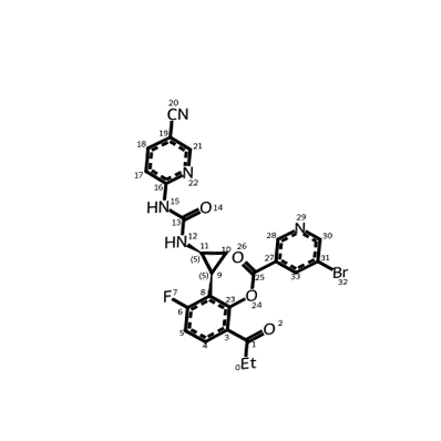 CCC(=O)c1ccc(F)c([C@@H]2C[C@@H]2NC(=O)Nc2ccc(C#N)cn2)c1OC(=O)c1cncc(Br)c1